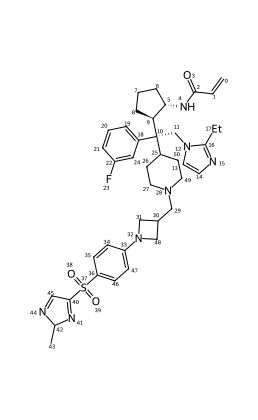 C=CC(=O)N[C@H]1CCC[C@@H]1[C@](Cn1ccnc1CC)(c1cccc(F)c1)C1CCN(CC2CN(c3ccc(S(=O)(=O)C4=NC(C)N=C4)cc3)C2)CC1